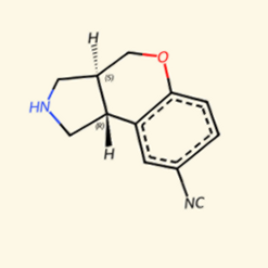 [C-]#[N+]c1ccc2c(c1)[C@@H]1CNC[C@H]1CO2